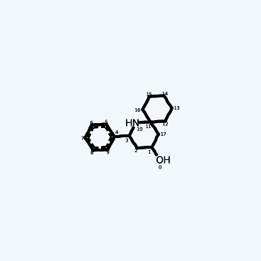 OC1CC(c2ccccc2)NC2(CCCCC2)C1